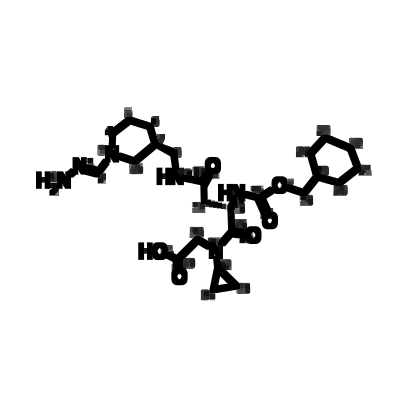 NN=CN1CCC[C@@H](CNC(=O)C[C@H](NC(=O)OCC2CCCCC2)C(=O)N(CC(=O)O)C2CC2)C1